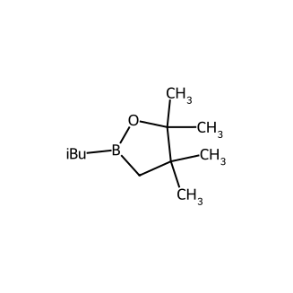 CCC(C)B1CC(C)(C)C(C)(C)O1